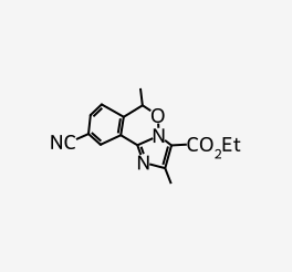 CCOC(=O)c1c(C)nc2n1OC(C)c1ccc(C#N)cc1-2